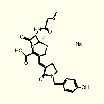 CSCC(=O)N[C@@H]1C(=O)N2C(C(=O)O)=C(C=C3CCN(Cc4ccc(O)cc4)C3=O)CS[C@H]12.[Na]